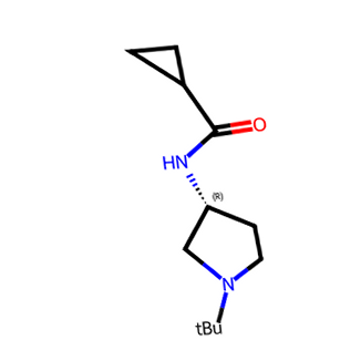 CC(C)(C)N1CC[C@@H](NC(=O)C2CC2)C1